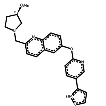 CO[C@@H]1CCN(Cc2ccc3cc(Oc4ccc(-c5ccn[nH]5)cn4)ccc3n2)C1